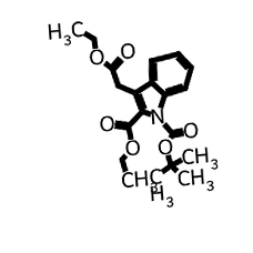 CCOC(=O)Cc1c(C(=O)OCC)n(C(=O)OC(C)(C)C)c2ccccc12